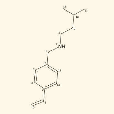 C=Cc1ccc(CNCCC(C)C)cc1